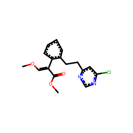 CO/C=C(/C(=O)OC)c1ccccc1CCc1cc(Cl)ncn1